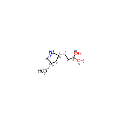 O=C(O)[C@@H]1CNC[C@H](CCB(O)O)C1